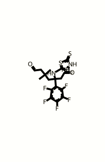 CC(C)(CC=O)CC(CC(N)=O)(Nc1n[nH]c(=S)s1)c1c(F)c(F)c(F)c(F)c1F